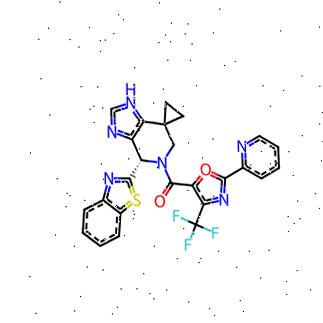 O=C(c1oc(-c2ccccn2)nc1C(F)(F)F)N1CC2(CC2)c2[nH]cnc2[C@H]1c1nc2ccccc2s1